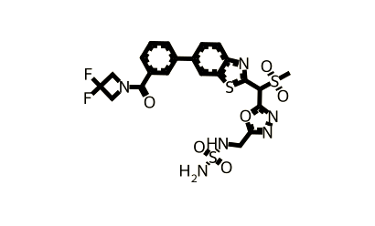 CS(=O)(=O)C(c1nnc(CNS(N)(=O)=O)o1)c1nc2ccc(-c3cccc(C(=O)N4CC(F)(F)C4)c3)cc2s1